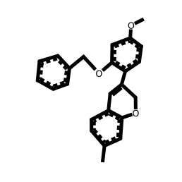 COc1ccc(C2=Cc3ccc(C)cc3OC2)c(OCc2ccccc2)c1